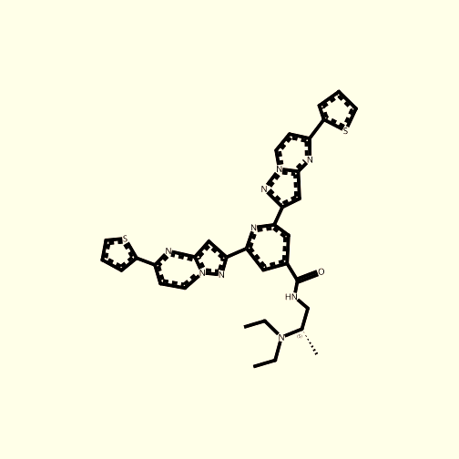 CCN(CC)[C@@H](C)CNC(=O)c1cc(-c2cc3nc(-c4cccs4)ccn3n2)nc(-c2cc3nc(-c4cccs4)ccn3n2)c1